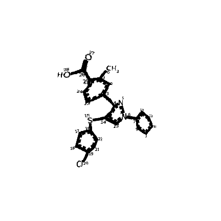 Cc1cc(-c2nn(-c3ccccc3)cc2Sc2ccc(Cl)cc2)ccc1C(=O)O